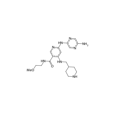 COCCNC(=O)c1cnc(Nc2cnc(N)cn2)cc1NCC1CCNCC1